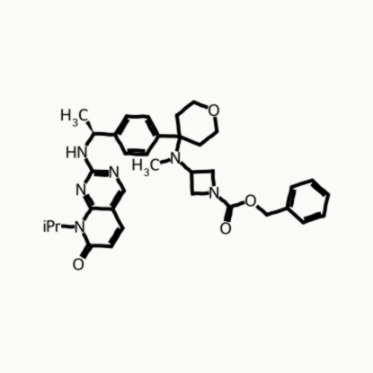 CC(C)n1c(=O)ccc2cnc(N[C@@H](C)c3ccc(C4(N(C)C5CN(C(=O)OCc6ccccc6)C5)CCOCC4)cc3)nc21